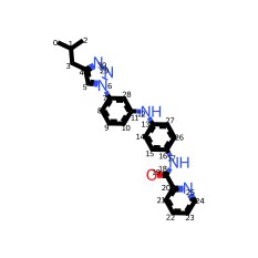 CC(C)Cc1cn(-c2cccc(Nc3ccc(NC(=O)c4ccccn4)cc3)c2)nn1